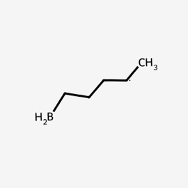 BCCC[CH]C